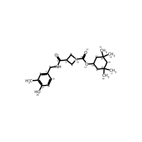 Cc1cc(CNC(=O)C2CN(C(=O)OC3CC(C)(C)CC(C)(C)C3)C2)ccc1O